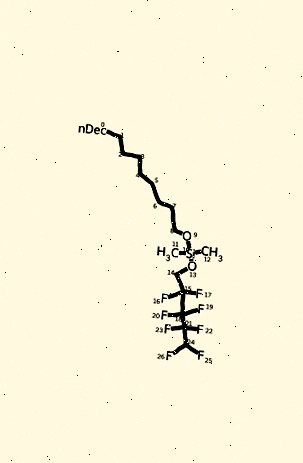 CCCCCCCCCCCCCCCCCCO[Si](C)(C)OCC(F)(F)C(F)(F)C(F)(F)C(F)F